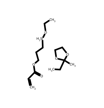 C=CC(=O)OCCC[SiH2]OCC.CCC1(C)OCCO1